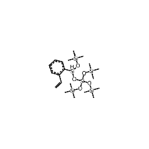 C=Cc1ccccc1[SiH](O[Si](C)(C)C)O[Si](O[Si](C)(C)C)(O[Si](C)(C)C)O[Si](C)(C)C